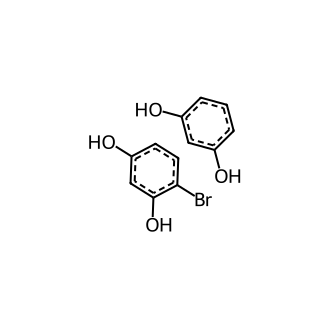 Oc1ccc(Br)c(O)c1.Oc1cccc(O)c1